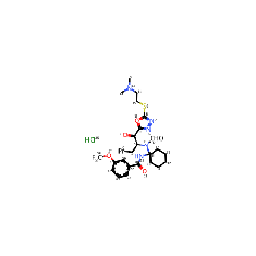 CC(C)CC(C(=O)c1nnc(SCCN(C)C)o1)N(C=O)C1(NC(=O)c2cccc(OC(F)(F)F)c2)CCCCC1.Cl